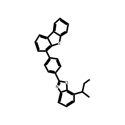 CCC(C)c1cccc2nc(-c3ccc(-c4cccc5c4sc4ccccc45)cc3)oc12